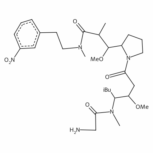 CCC(C)C(C(CC(=O)N1CCCC1C(OC)C(C)C(=O)N(C)CCc1cccc([N+](=O)[O-])c1)OC)N(C)C(=O)CN